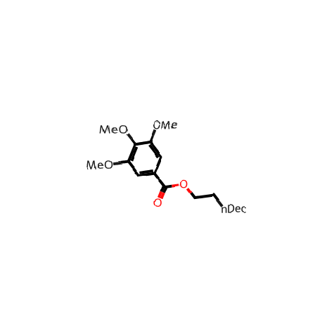 CCCCCCCCCCCCOC(=O)c1cc(OC)c(OC)c(OC)c1